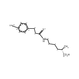 C[C@@H](CCCCNC(=S)CCc1ccc([124I])cc1)C(=O)O